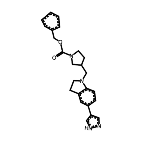 O=C(OCc1ccccc1)N1CCC(CN2CCc3cc(-c4cn[nH]c4)ccc32)C1